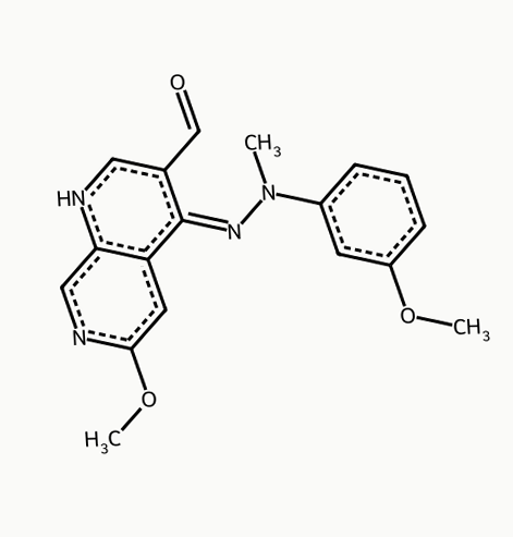 COc1cccc(N(C)/N=c2\c(C=O)c[nH]c3cnc(OC)cc23)c1